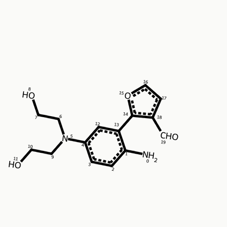 Nc1ccc(N(CCO)CCO)cc1-c1occc1C=O